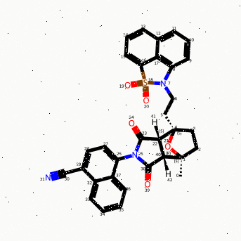 C[C@@]12CC[C@@](CCN3c4cccc5cccc(c45)S3(=O)=O)(O1)[C@H]1C(=O)N(c3ccc(C#N)c4ccccc34)C(=O)[C@H]12